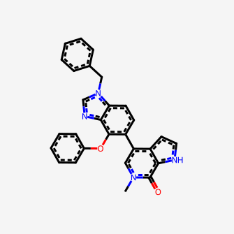 Cn1cc(-c2ccc3c(ncn3Cc3ccccc3)c2Oc2ccccc2)c2cc[nH]c2c1=O